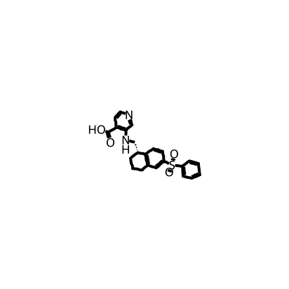 O=C(O)c1ccncc1NC[C@H]1CCCc2cc(S(=O)(=O)c3ccccc3)ccc21